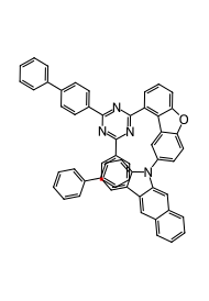 c1ccc(-c2ccc(-c3nc(-c4ccccc4)nc(-c4cccc5oc6ccc(-n7c8ccc(-c9ccccc9)cc8c8cc9ccccc9cc87)cc6c45)n3)cc2)cc1